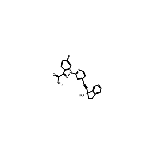 NC(=O)c1nn(-c2cc(C#C[C@]3(O)CCc4ccccc43)ccn2)c2cc(F)ccc12